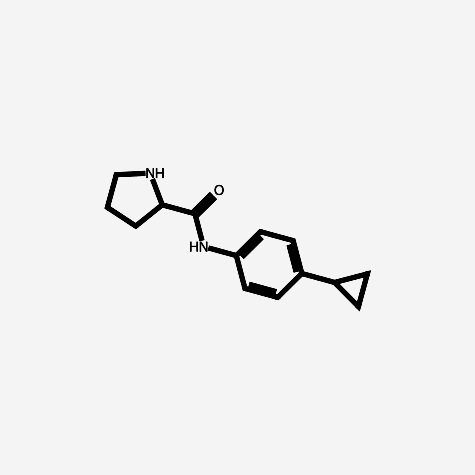 O=C(Nc1ccc(C2CC2)cc1)C1CCCN1